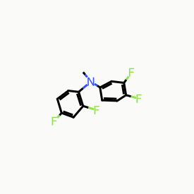 CN(c1ccc(F)c(F)c1)c1ccc(F)cc1F